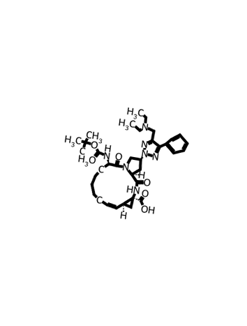 CCN(CC)Cc1nn([C@H]2C[C@H]3C(=O)N[C@@]4(C(=O)O)C[C@H]4/C=C\CCCCC[C@@H](NC(=O)OC(C)(C)C)C(=O)N3C2)nc1-c1ccccc1